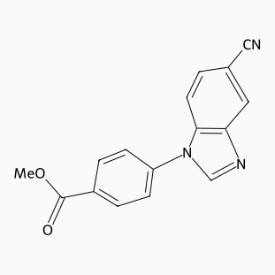 COC(=O)c1ccc(-n2cnc3cc(C#N)ccc32)cc1